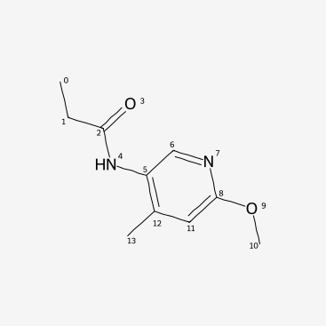 CCC(=O)Nc1cnc(OC)cc1C